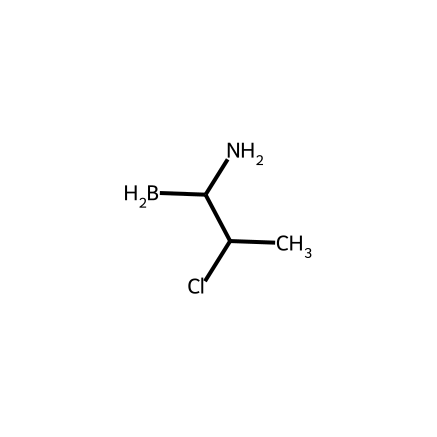 BC(N)C(C)Cl